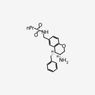 CCCS(=O)(=O)NCc1ccc2c(c1)[C@@H](Cc1ccccc1)[C@@H](N)CO2